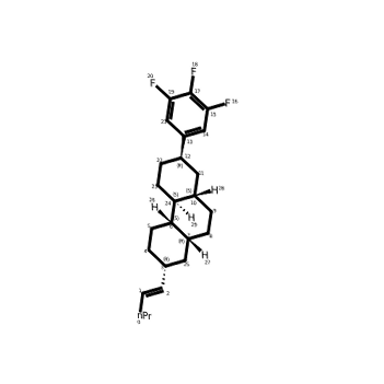 CCCC=C[C@@H]1CC[C@H]2[C@H](CC[C@H]3C[C@H](c4cc(F)c(F)c(F)c4)CC[C@@H]32)C1